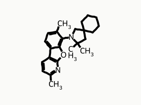 Cc1ccc2c(n1)oc1c(N3CC4(CCCCC4)CC3(C)C)c(C)ccc12